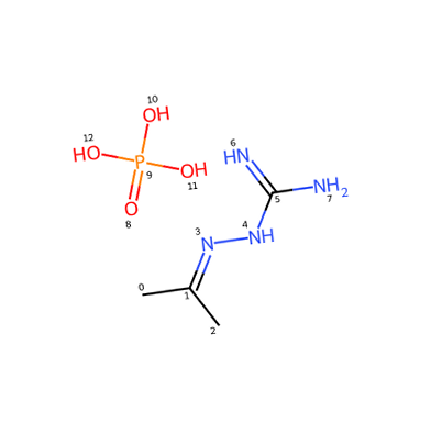 CC(C)=NNC(=N)N.O=P(O)(O)O